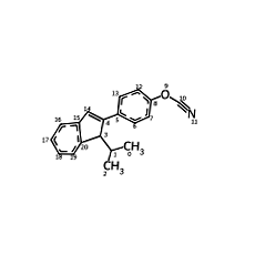 CC(C)C1C(c2ccc(OC#N)cc2)=Cc2ccccc21